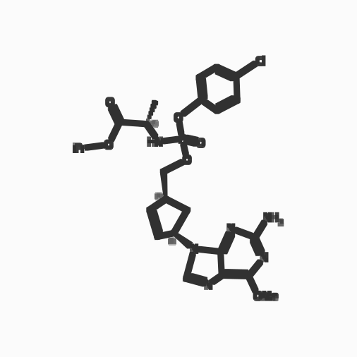 COc1nc(N)nc2c1ncn2[C@H]1C=C[C@@H](COP(=O)(N[C@@H](C)C(=O)OC(C)C)Oc2ccc(Cl)cc2)C1